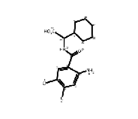 Nc1cc(Cl)c(Cl)cc1C(=O)NC(C(=O)O)C1CCCCC1